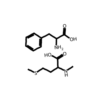 CNC(CCSC)C(=O)O.NC(Cc1ccccc1)C(=O)O